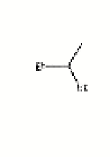 [CH]CC(C)CC